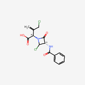 C=C(CCl)[C@H](C(=O)O)N1C(=O)[C@H](NC(=O)c2ccccc2)C1Cl